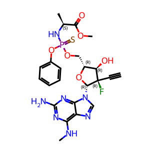 C#C[C@@]1(F)[C@H](O)[C@@H](COP(=S)(N[C@@H](C)C(=O)OC)Oc2ccccc2)O[C@H]1n1cnc2c(NC)nc(N)nc21